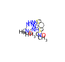 CN(C)C(=O)c1cc2c(s1)C(CCNCC(=O)N1C(C#N)C[C@@H]3C[C@@H]31)(c1nn[nH]n1)c1sccc1CC2